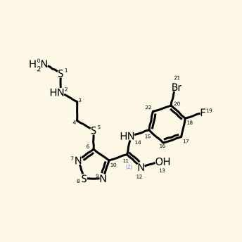 NSNCCSc1nsnc1/C(=N/O)Nc1ccc(F)c(Br)c1